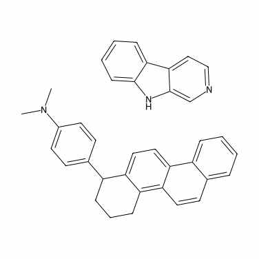 CN(C)c1ccc(C2CCCc3c2ccc2c3ccc3ccccc32)cc1.c1ccc2c(c1)[nH]c1cnccc12